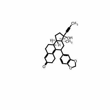 CC#C[C@@]1(O)CC[C@H]2[C@@H]3CCC4=CC(=O)CCC4=C3C(c3ccc4c(c3)OCO4)C[C@@]21C